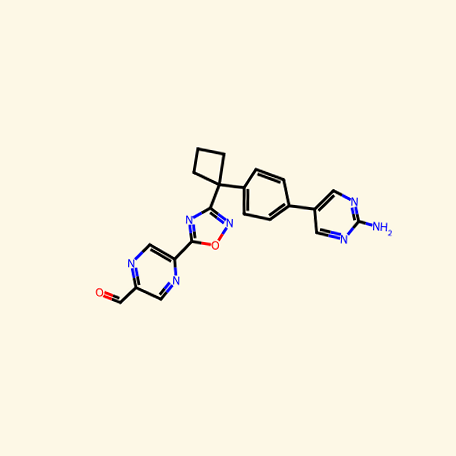 Nc1ncc(-c2ccc(C3(c4noc(-c5cnc(C=O)cn5)n4)CCC3)cc2)cn1